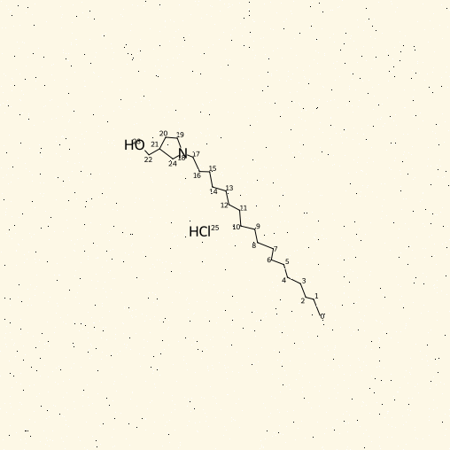 CCCCCCCCCCCCCCCCCCN1CCC(CO)C1.Cl